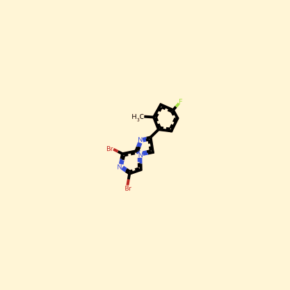 Cc1cc(F)ccc1-c1cn2cc(Br)nc(Br)c2n1